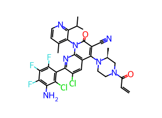 C=CC(=O)N1CCN(c2c(C#N)c(=O)n(-c3c(C)ccnc3C(C)C)c3nc(-c4c(F)c(F)c(F)c(N)c4Cl)c(Cl)cc23)[C@@H](C)C1